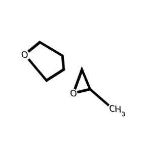 C1CCOC1.CC1CO1